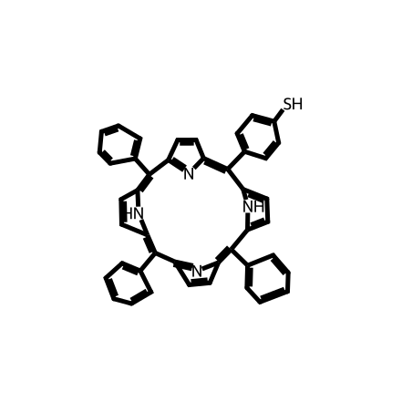 Sc1ccc(-c2c3nc(c(-c4ccccc4)c4ccc([nH]4)c(-c4ccccc4)c4nc(c(-c5ccccc5)c5ccc2[nH]5)C=C4)C=C3)cc1